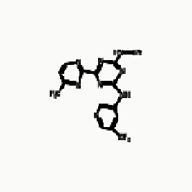 CC(C)Nc1nc(Nc2cncc(C(F)(F)F)c2)nc(-c2nccc(C(F)(F)F)n2)n1